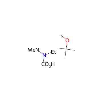 CCN(NC)C(=O)O.COC(C)(C)C